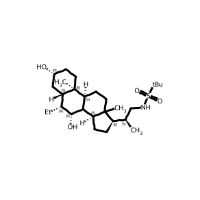 CC[C@H]1[C@@H](O)C2[C@@H]3CC[C@H]([C@H](C)CNS(=O)(=O)C(C)(C)C)C3(C)CC[C@@H]2[C@]2(C)CC[C@@H](O)C[C@@H]12